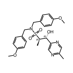 COc1ccc(CN(Cc2ccc(OC)cc2)S(=O)(=O)[C@H](C)[C@H](O)c2cnc(C)cn2)cc1